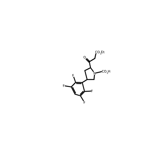 CCOC(=O)CC(=O)C1CC(c2c(F)c(F)cc(F)c2F)CN1C(=O)O